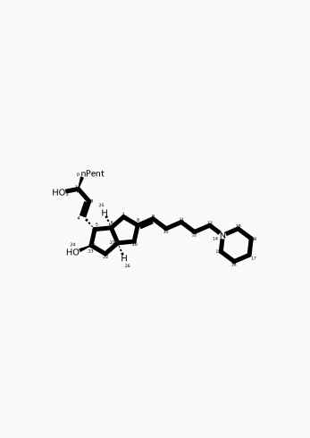 CCCCC[C@H](O)C=C[C@@H]1[C@H]2CC(=CCCCCN3CCCCC3)C[C@H]2C[C@H]1O